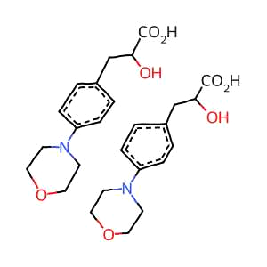 O=C(O)C(O)Cc1ccc(N2CCOCC2)cc1.O=C(O)C(O)Cc1ccc(N2CCOCC2)cc1